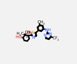 Cc1cc(Nc2nccc(C(F)(F)F)n2)cc(-c2cnc([C@@]3(O)CCC[C@@H](O)C3(C)C)s2)c1